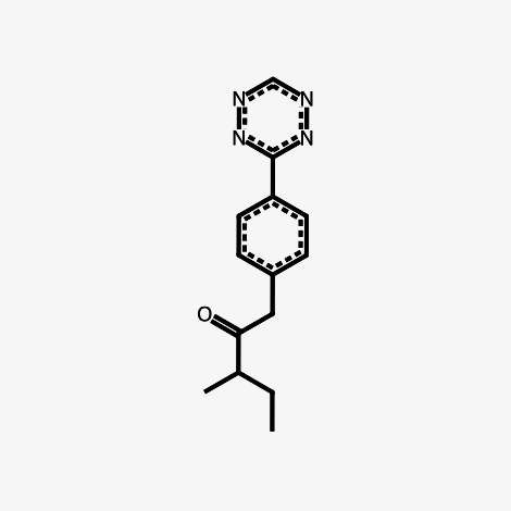 CCC(C)C(=O)Cc1ccc(-c2nncnn2)cc1